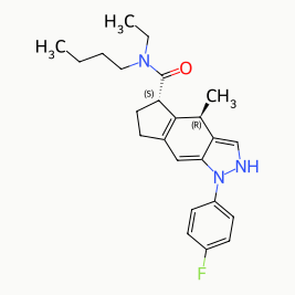 CCCCN(CC)C(=O)[C@H]1CCC2=C1[C@@H](C)C1=CNN(c3ccc(F)cc3)C1=C2